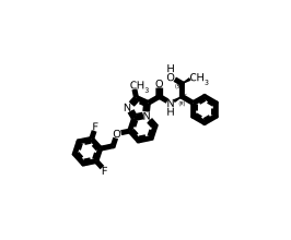 Cc1nc2c(OCc3c(F)cccc3F)cccn2c1C(=O)N[C@H](c1ccccc1)[C@H](C)O